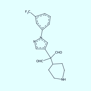 O=CC(C=O)(c1cnn(-c2cccc(C(F)(F)F)c2)c1)C1CCNCC1